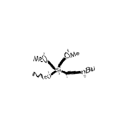 C[CH]CCC[Si](OC)(OC)OC